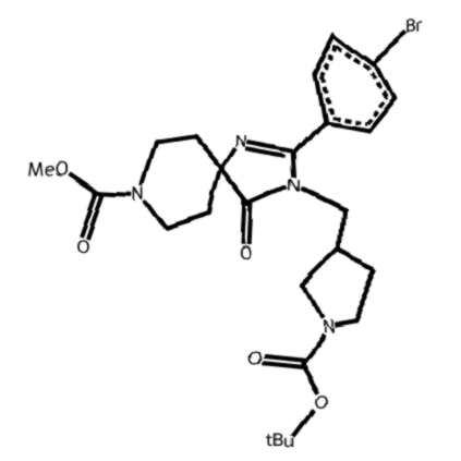 COC(=O)N1CCC2(CC1)N=C(c1ccc(Br)cc1)N(CC1CCN(C(=O)OC(C)(C)C)C1)C2=O